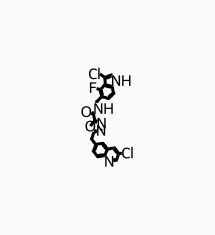 O=C(NCc1ccc2[nH]cc(Cl)c2c1F)c1nnc(Cc2ccc3ncc(Cl)cc3c2)o1